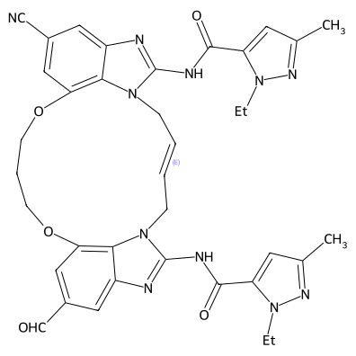 CCn1nc(C)cc1C(=O)Nc1nc2cc(C#N)cc3c2n1C/C=C/Cn1c(NC(=O)c2cc(C)nn2CC)nc2cc(C=O)cc(c21)OCCCO3